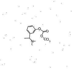 CC(c1cccc(OC(=O)OC(Cl)(Cl)Cl)c1)N(C)C